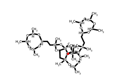 C[SiH]1O[SiH](C)O[SiH](CC[Si](C)(C)O[Si](C)(C)O[Si](C)(CC[Si]2(C)O[SiH](C)O[SiH](C)O[SiH](C)O2)O[Si](C)(C)CC[SiH]2O[SiH](C)O[SiH](C)O[SiH](C)O2)O[SiH](C)O1